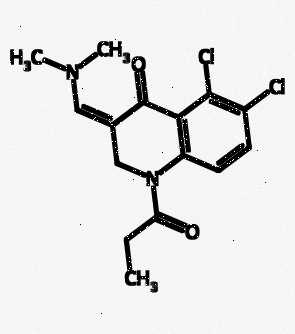 CCC(=O)N1CC(=CN(C)C)C(=O)c2c1ccc(Cl)c2Cl